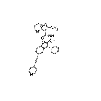 C[C@@H](NC(=O)c1c(N)nn2cccnc12)c1oc2ccc(C#Cc3ccncc3)cc2c1-c1ccccc1